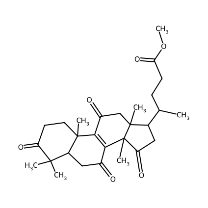 COC(=O)CCC(C)C1CC(=O)C2(C)C3=C(C(=O)CC12C)C1(C)CCC(=O)C(C)(C)C1CC3=O